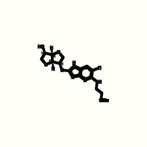 COCCNc1nc2nc(O[C@@H]3CO[C@H]4[C@@H]3OC[C@H]4O)[nH]c2cc1Cl